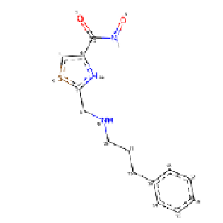 O=NC(=O)c1csc(CNCCCc2ccccc2)n1